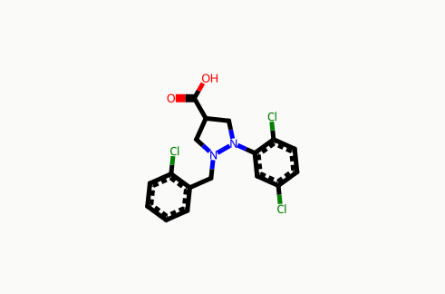 O=C(O)C1CN(Cc2ccccc2Cl)N(c2cc(Cl)ccc2Cl)C1